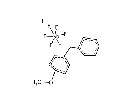 COc1ccc(Cc2ccccc2)cc1.[F][Sb-]([F])([F])([F])([F])[F].[H+]